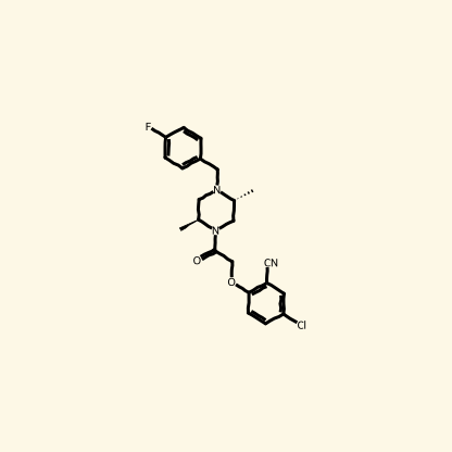 C[C@@H]1CN(C(=O)COc2ccc(Cl)cc2C#N)[C@@H](C)CN1Cc1ccc(F)cc1